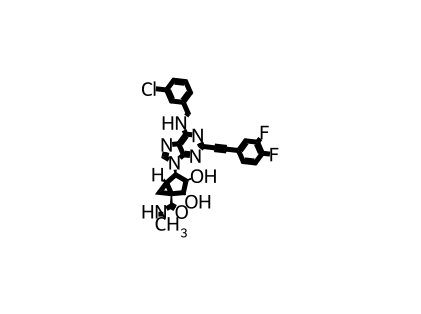 CNC(=O)[C@@]12C[C@@H]1[C@@H](n1cnc3c(NCc4cccc(Cl)c4)nc(C#Cc4ccc(F)c(F)c4)nc31)[C@H](O)[C@@H]2O